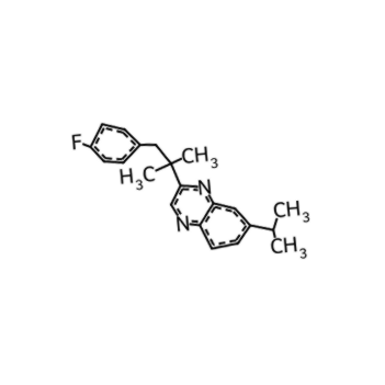 CC(C)c1ccc2ncc(C(C)(C)Cc3ccc(F)cc3)nc2c1